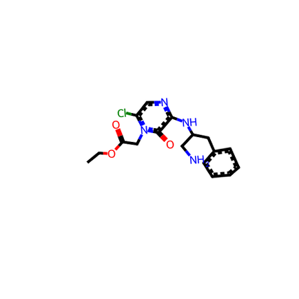 CCOC(=O)Cn1c(Cl)cnc(NC(CN)Cc2ccccc2)c1=O